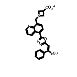 CCCCC(=Cc1nnc(-c2ccc(CN3CC(C(=O)O)C3)c3ncccc23)o1)c1ccccc1